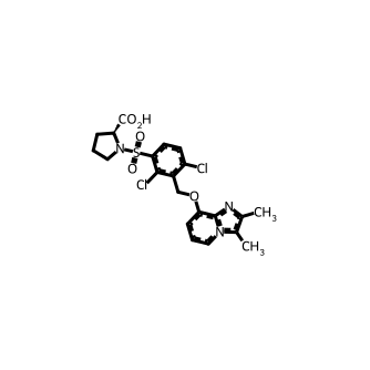 Cc1nc2c(OCc3c(Cl)ccc(S(=O)(=O)N4CCC[C@H]4C(=O)O)c3Cl)cccn2c1C